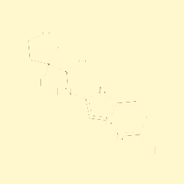 O=C(Nc1cn2nc(Cl)ccc2n1)C1(F)CCOC1